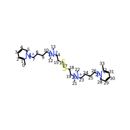 Cc1cccc[n+]1CCCC[N+](C)(C)CCSSCC[N+](C)(C)CCCC[n+]1ccccc1C